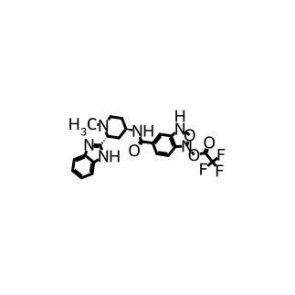 CN1CC[C@@H](NC(=O)c2ccc3c(c2)NON3OC(=O)C(F)(F)F)C[C@@H]1c1nc2ccccc2[nH]1